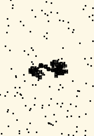 Cc1ncsc1-c1ccc([C@H](C)NC(=O)[C@@H]2C[C@@H](O)CN2C(=O)[C@@H](NC(=O)COCCOCCOCCn2cc(C#Cc3sc4c(c3C)C(c3ccc(Cl)cc3)=NCc3nnc(C)n3-4)cn2)C(C)(C)C)cc1